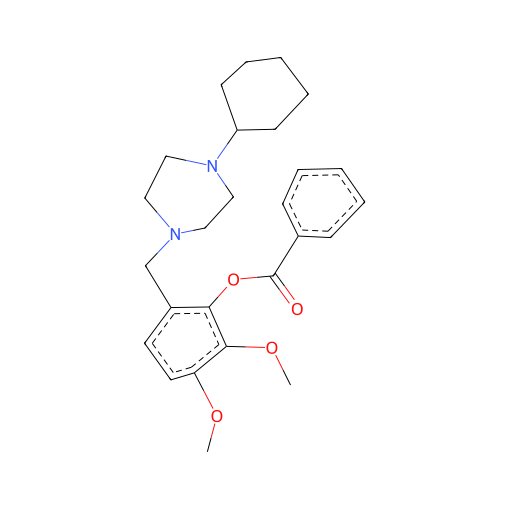 COc1ccc(CN2CCN(C3CCCCC3)CC2)c(OC(=O)c2ccccc2)c1OC